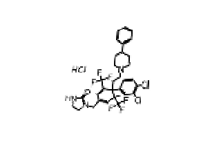 CC1(C(F)(F)F)C=C(CN2CCNC2=O)C=C(C(F)(F)F)C1(CCN1CCC(c2ccccc2)CC1)c1ccc(Cl)c(Cl)c1.Cl